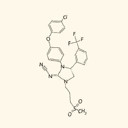 CS(=O)(=O)CCCN1CC(c2cccc(C(F)(F)F)c2)N(c2ccc(Oc3ccc(Cl)cc3)cc2)/C1=N\C#N